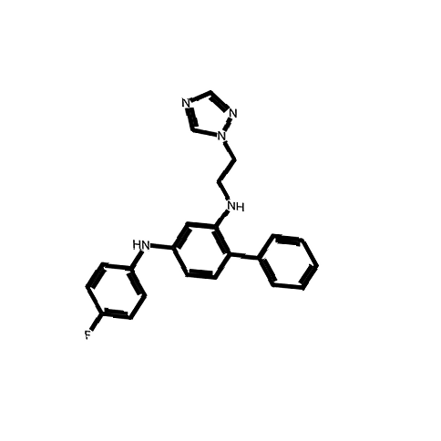 Fc1ccc(Nc2ccc(-c3ccccc3)c(NCCn3cncn3)c2)cc1